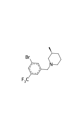 C[C@H]1CCCN(Cc2cc(Br)cc(C(F)(F)F)c2)C1